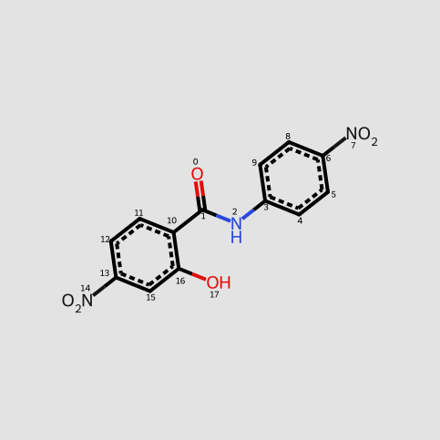 O=C(Nc1ccc([N+](=O)[O-])cc1)c1ccc([N+](=O)[O-])cc1O